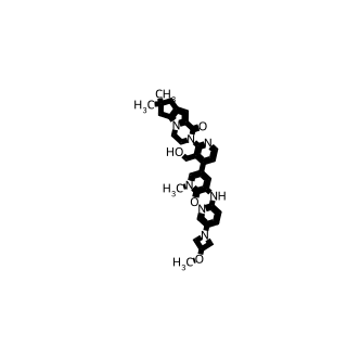 COC1CN(c2ccc(Nc3cc(-c4ccnc(N5CCn6c(cc7c6CC(C)(C)C7)C5=O)c4CO)cn(C)c3=O)nc2)C1